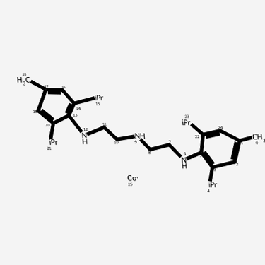 Cc1cc(C(C)C)c(NCCNCCNc2c(C(C)C)cc(C)cc2C(C)C)c(C(C)C)c1.[Co]